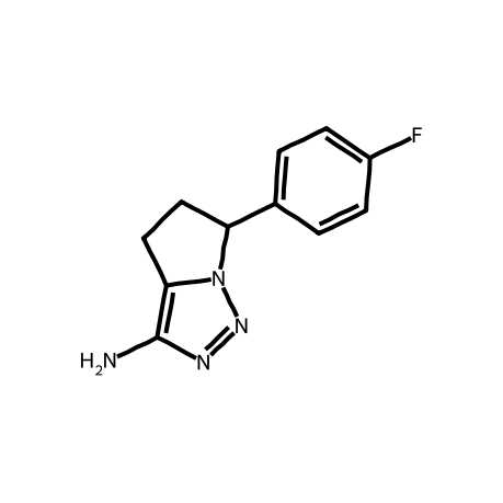 Nc1nnn2c1CCC2c1ccc(F)cc1